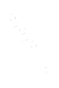 C=CC(=O)OCCCCOc1ccc(C(=O)Oc2ccc(C(=O)Oc3ccccc3)cc2)cc1